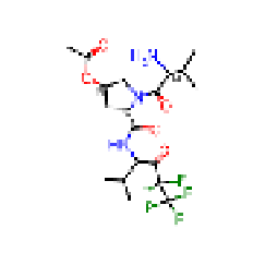 CC(=O)O[C@@H]1C[C@@H](C(=O)NC(C(=O)C(F)(F)C(F)(F)F)C(C)C)N(C(=O)[C@@H](N)C(C)C)C1